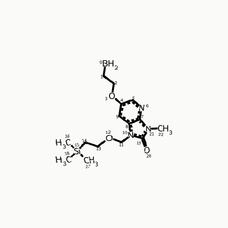 BCCOc1cnc2c(c1)n(COCC[Si](C)(C)C)c(=O)n2C